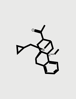 CC[C@@]12CC3C(C(C)=O)CC1C(Cc1ccccc12)N3CC1CC1